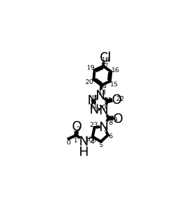 CC(=O)N[C@H]1CCN(C(=O)n2nnn(-c3ccc(Cl)cc3)c2=O)C1